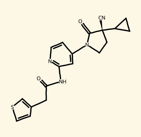 N#C[C@@]1(C2CC2)CCN(c2ccnc(NC(=O)Cc3ccsc3)c2)C1=O